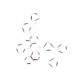 CC(C)(C)c1cc(-c2cccc3cccc(-c4ccccc4N(c4ccc(-c5cccc6c5oc5ccccc56)cc4)c4ccc5c6ccccc6n(-c6ccccc6)c5c4)c23)cc(C(C)(C)C)c1